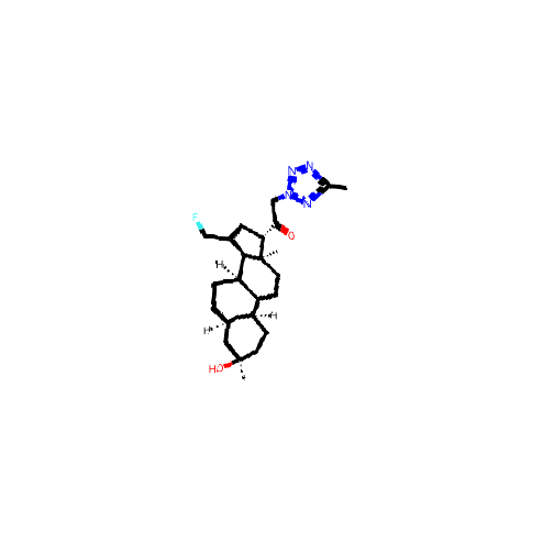 Cc1nnn(CC(=O)[C@H]2CC(CF)C3[C@@H]4CC[C@@H]5C[C@](C)(O)CC[C@@H]5C4CC[C@@]32C)n1